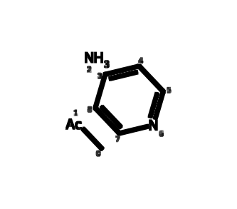 CC(C)=O.N.c1ccncc1